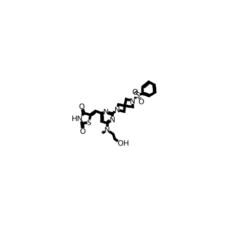 CN(CCO)c1cc(/C=C2\SC(=O)NC2=O)nc(N2CC3(C2)CN(S(=O)(=O)c2ccccc2)C3)n1